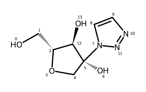 OC[C@H]1OC[C@](O)(n2ccnn2)[C@@H]1O